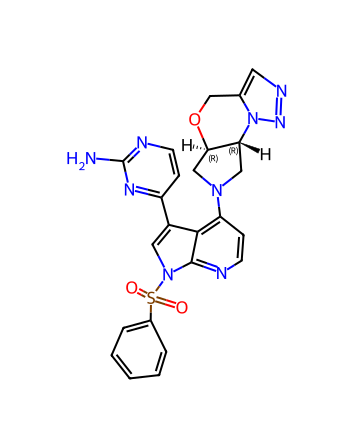 Nc1nccc(-c2cn(S(=O)(=O)c3ccccc3)c3nccc(N4C[C@@H]5[C@@H](C4)OCc4cnnn45)c23)n1